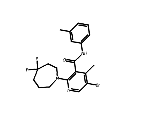 Cc1cccc(NC(=O)c2c(N3CCCC(F)(F)CC3)ncc(Br)c2C)c1